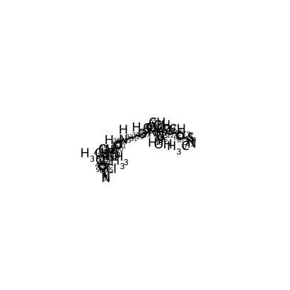 Cc1ncsc1-c1ccc([C@H](C)CC(=O)[C@@H]2C[C@@H](O)CN2C(=O)C(NC(=O)COCCCCCNc2ccc(C(=O)N[C@H]3C(C)(C)[C@@H](Oc4ccc(C#N)c(Cl)c4)C3(C)C)cc2)C(C)(C)C)cc1